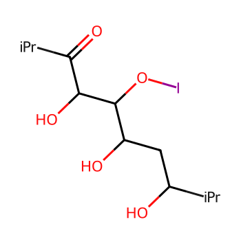 CC(C)C(=O)C(O)C(OI)C(O)CC(O)C(C)C